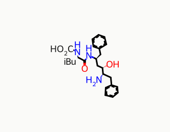 CC[C@H](C)[C@H](NC(=O)O)C(=O)N[C@@H](Cc1ccccc1)C[C@H](O)[C@@H](N)Cc1ccccc1